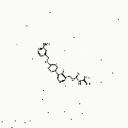 COc1cc(COC2CCN(c3cccc(COC(=O)NC(=N)N)c3F)CC2)ccn1